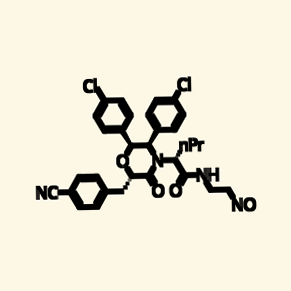 CCC[C@H](C(=O)NCCN=O)N1C(=O)[C@H](Cc2ccc(C#N)cc2)O[C@@H](c2ccc(Cl)cc2)[C@H]1c1ccc(Cl)cc1